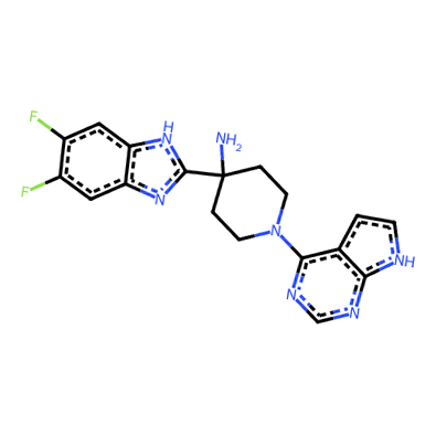 NC1(c2nc3cc(F)c(F)cc3[nH]2)CCN(c2ncnc3[nH]ccc23)CC1